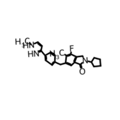 CN/C=C\C(=N)c1ccc(Cc2cc3c(c(F)c2C)CN(C2CCCC2)C3=O)cc1